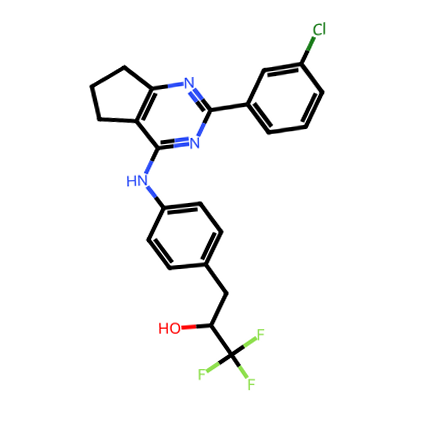 OC(Cc1ccc(Nc2nc(-c3cccc(Cl)c3)nc3c2CCC3)cc1)C(F)(F)F